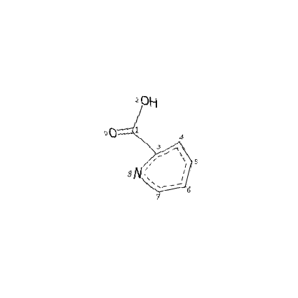 O=C(O)c1cc[c]cn1